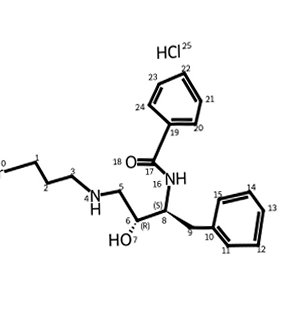 CC(C)CCCNC[C@@H](O)[C@H](Cc1ccccc1)NC(=O)c1ccccc1.Cl